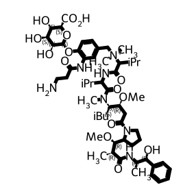 CC[C@H](C)[C@@H]([C@@H](CC(=O)N1CCCC1[C@H](OC)[C@@H](C)C(=O)N[C@H](C)[C@@H](O)c1ccccc1)OC)N(C)C(=O)C(NC(=O)C(C(C)C)[N+](C)(C)Cc1ccc(O[C@@H]2O[C@H](C(=O)O)[C@@H](O)[C@H](O)[C@H]2O)c(NC(=O)CCN)c1)C(C)C